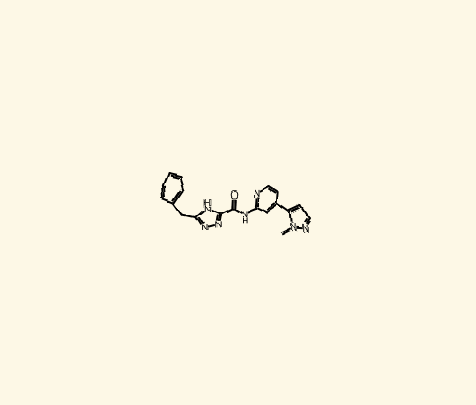 Cn1nccc1-c1ccnc(NC(=O)c2nnc(Cc3ccccc3)[nH]2)c1